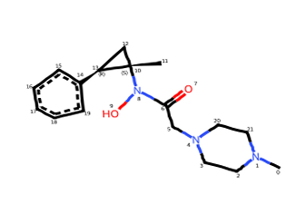 CN1CCN(CC(=O)N(O)[C@@]2(C)C[C@@H]2c2ccccc2)CC1